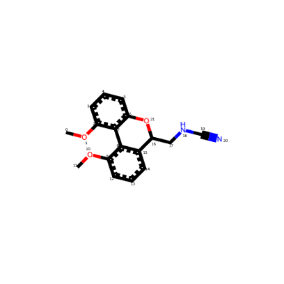 COc1cccc2c1-c1c(OC)cccc1C(CNC#N)O2